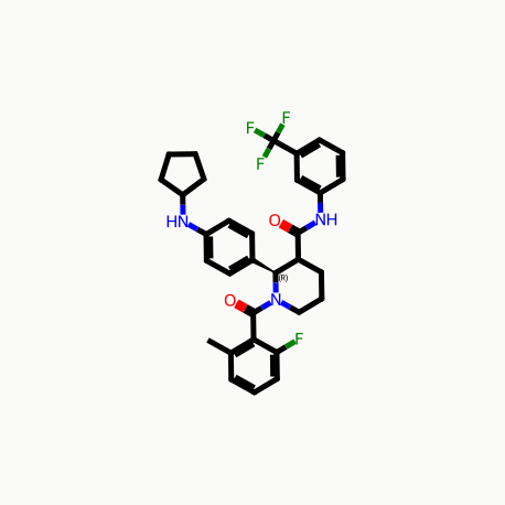 Cc1cccc(F)c1C(=O)N1CCCC(C(=O)Nc2cccc(C(F)(F)F)c2)[C@@H]1c1ccc(NC2CCCC2)cc1